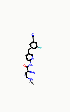 CN/C=C\C(=N)C(=O)Nc1ccc(Cc2cc(F)cc(C#N)c2)cn1